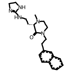 CN1CCN(CCc2ccc3ccccc3c2)C(=O)[C@@H]1CCNC1=NCCN1